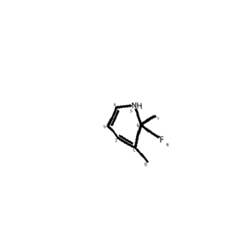 CC1=CC=CNC1(C)F